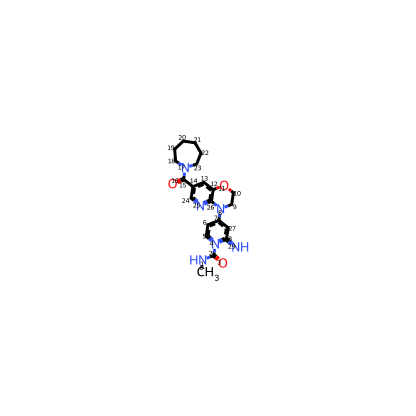 CNC(=O)n1ccc(N2CCOc3cc(C(=O)N4CCCCCC4)cnc32)cc1=N